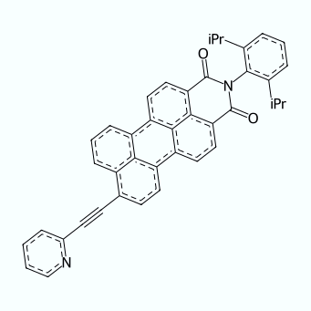 CC(C)c1cccc(C(C)C)c1N1C(=O)c2ccc3c4cccc5c(C#Cc6ccccn6)ccc(c6ccc(c2c36)C1=O)c54